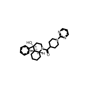 O=C(C1CCN(c2ncccn2)CC1)N1CC[C@](O)(c2ccccc2)[C@H]2CCCC[C@H]21